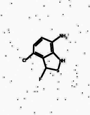 Nc1ccc(Cl)c2c1NSC2F